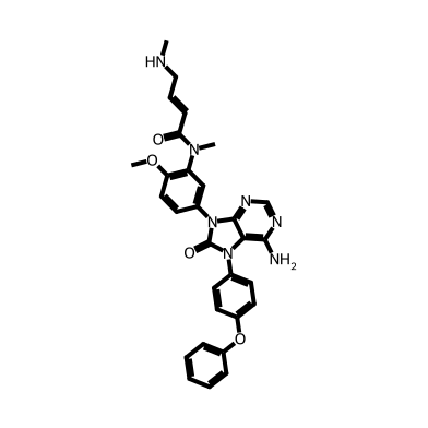 CNC/C=C/C(=O)N(C)c1cc(-n2c(=O)n(-c3ccc(Oc4ccccc4)cc3)c3c(N)ncnc32)ccc1OC